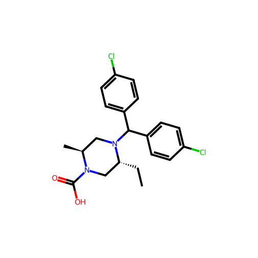 CC[C@@H]1CN(C(=O)O)[C@@H](C)CN1C(c1ccc(Cl)cc1)c1ccc(Cl)cc1